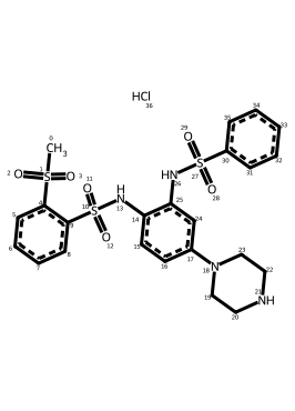 CS(=O)(=O)c1ccccc1S(=O)(=O)Nc1ccc(N2CCNCC2)cc1NS(=O)(=O)c1ccccc1.Cl